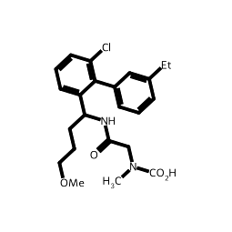 CCc1cccc(-c2c(Cl)cccc2C(CCCOC)NC(=O)CN(C)C(=O)O)c1